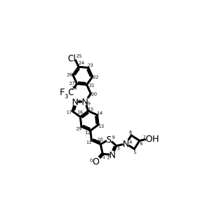 O=C1N=C(N2CC(O)C2)S/C1=C\c1ccc2c(cnn2Cc2ccc(Cl)cc2C(F)(F)F)c1